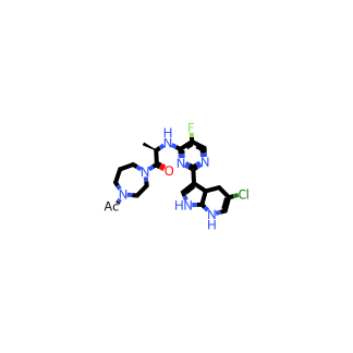 CC(=O)N1CCCN(C(=O)[C@@H](C)Nc2nc(C3=CNC4NC=C(Cl)CC34)ncc2F)CC1